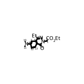 CCOC(=O)Cn1nc(CC)c2cc(N(C)C)ccc2c1=O